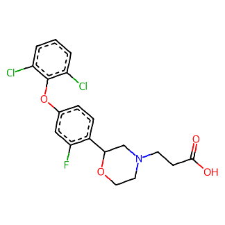 O=C(O)CCN1CCOC(c2ccc(Oc3c(Cl)cccc3Cl)cc2F)C1